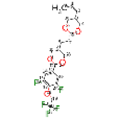 C/C=C\[C@H]1CO[C@H](CCC2COC(c3cc(F)c(OCC(F)(F)F)c(F)c3)OC2)OC1